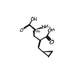 N[C@@H](CC(=CC1CC1)C(=O)O)C(=O)O